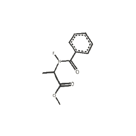 COC(=O)C(C)N(F)C(=O)c1ccccc1